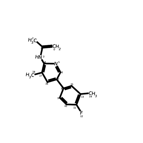 C=C(C)Nc1ncc(-c2ccc(F)c(C)c2)cc1C